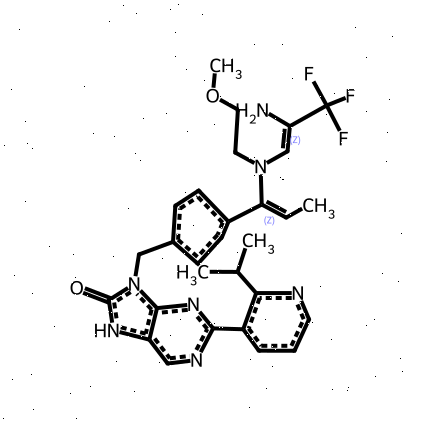 C/C=C(/c1ccc(Cn2c(=O)[nH]c3cnc(-c4cccnc4C(C)C)nc32)cc1)N(/C=C(\N)C(F)(F)F)CCOC